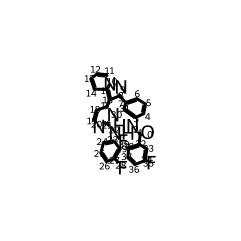 O=C(Nc1cccc(-c2nn3ccccc3c2-c2ccnc(Nc3cccc(F)c3)n2)c1)c1cc(F)ccc1F